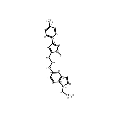 Cn1nc(-c2ccc(C(F)(F)F)cc2)cc1CCOc1ccc2c(ccn2CC(=O)O)c1